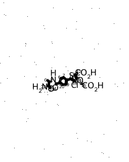 CC(NC(=O)c1ccc(-c2sc(C(=O)O)c(OCC(=O)O)c2Cl)cc1)C(N)=O